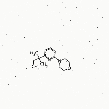 CCC(C)(C)c1cccc(N2CCOCC2)n1